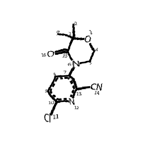 CC1(C)OCCN(c2ccc(Cl)nc2C#N)C1=O